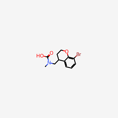 CN(CC1CCOc2c(Br)cccc21)C(=O)O